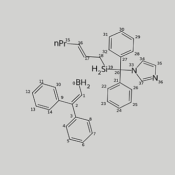 BC=C(c1ccccc1)c1ccccc1.CCCC=CC[SiH2]C(c1ccccc1)(c1ccccc1)n1ccnc1